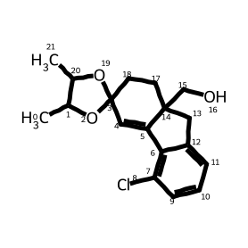 CC1OC2(C=C3c4c(Cl)cccc4CC3(CO)CC2)OC1C